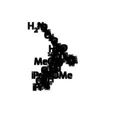 CC[C@@H](C)C([C@H](CC(=O)N1CCCC1[C@@H](OC)[C@H](C)C(=O)N[C@H](CCc1ccccc1)C(=O)NCCOCCOCCON)OC)N(C)C(=O)[C@H](NC(=O)C(C(C)C)N(C)C)C(C)C